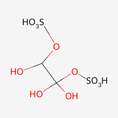 O=S(=O)(O)OC(O)C(O)(O)OS(=O)(=O)O